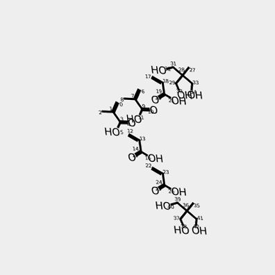 C=C(C)C(=O)O.C=C(C)C(=O)O.C=CC(=O)O.C=CC(=O)O.C=CC(=O)O.CC(CO)(CO)CO.CC(CO)(CO)CO